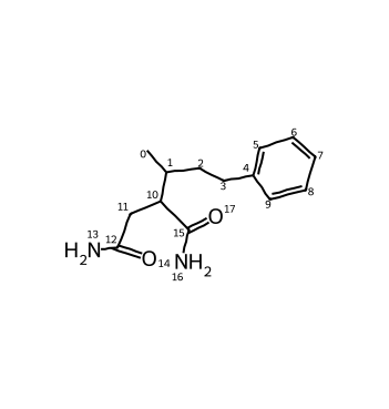 CC(CCc1ccccc1)C(CC(N)=O)C(N)=O